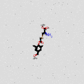 Cc1cc(COC(C)C)cc(C)c1OC(=O)CSCC(N)C(=O)OC(C)C